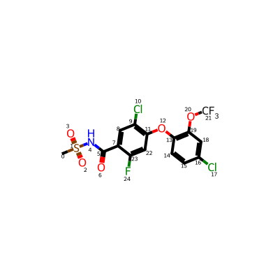 CS(=O)(=O)NC(=O)c1cc(Cl)c(Oc2ccc(Cl)cc2OC(F)(F)F)cc1F